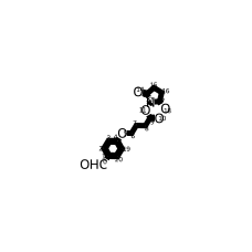 O=Cc1ccc(OCCCC(=O)ON2C(=O)CCC2=O)cc1